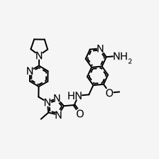 COc1cc2c(N)nccc2cc1CNC(=O)c1nc(C)n(Cc2ccc(N3CCCC3)nc2)n1